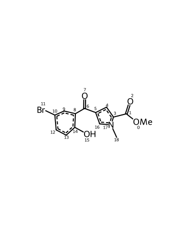 COC(=O)c1cc(C(=O)c2cc(Br)ccc2O)cn1C